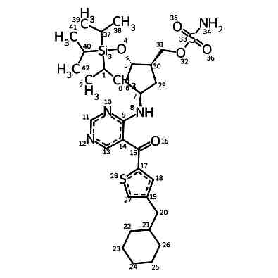 CC(C)[Si](O[C@H]1C[C@H](Nc2ncncc2C(=O)c2cc(CC3CCCCC3)cs2)C[C@@H]1COS(N)(=O)=O)(C(C)C)C(C)C